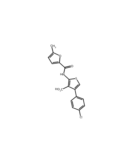 Cc1ccc(C(=O)Nc2scc(-c3ccc(Cl)cc3)c2C(=O)O)o1